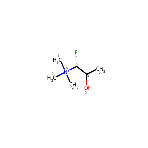 CC(O)C[N+](C)(C)C.[F-]